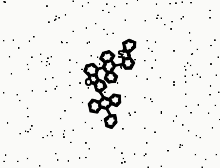 c1ccc(-c2c3ccccc3c(-c3ccc4c(c3)oc3cccc(-c5c6ccccc6c(-c6cccc7c6sc6ccccc67)c6ccccc56)c34)c3ccccc23)cc1